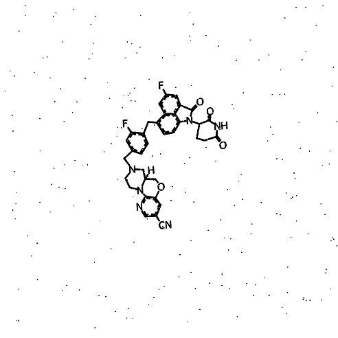 N#Cc1cnc2c(c1)OC[C@H]1CN(Cc3ccc(Cc4ccc5c6c(cc(F)cc46)C(=O)N5C4CCC(=O)NC4=O)c(F)c3)CCN21